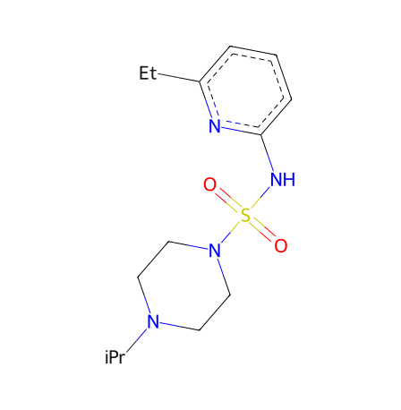 CCc1cccc(NS(=O)(=O)N2CCN(C(C)C)CC2)n1